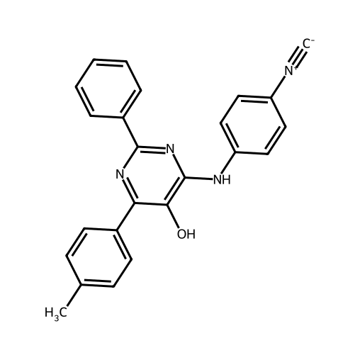 [C-]#[N+]c1ccc(Nc2nc(-c3ccccc3)nc(-c3ccc(C)cc3)c2O)cc1